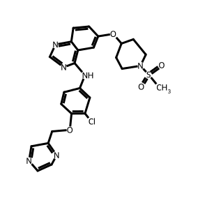 CS(=O)(=O)N1CCC(Oc2ccc3ncnc(Nc4ccc(OCc5cnccn5)c(Cl)c4)c3c2)CC1